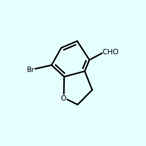 O=Cc1ccc(Br)c2c1CCO2